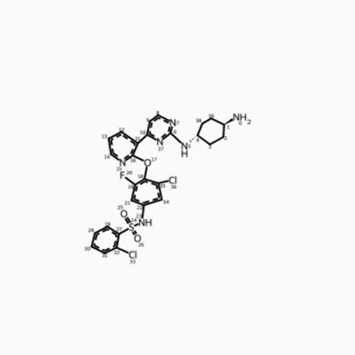 N[C@H]1CC[C@H](Nc2nccc(-c3cccnc3Oc3c(F)cc(NS(=O)(=O)c4ccccc4Cl)cc3Cl)n2)CC1